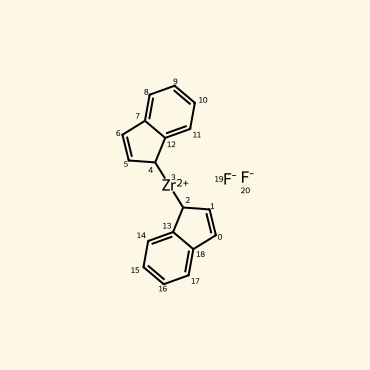 C1=C[CH]([Zr+2][CH]2C=Cc3ccccc32)c2ccccc21.[F-].[F-]